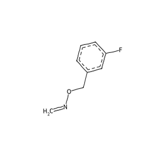 C=NOCc1cccc(F)c1